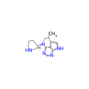 CC1CN([C@@H]2CCCNC2)c2ncnc3[nH]cc1c23